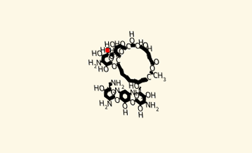 C[C@@H]1C/C=C/C=C/C=C/C=C/[C@H](O[C@@H]2O[C@H](C)[C@@H](O)[C@H](N)[C@@H]2O)C[C@@H]2O[C@](O)(C[C@@H](O)C[C@H]3O[C@@H]3/C=C/C(=O)O1)C[C@H](O)[C@H]2C(=O)O.NC[C@H]1O[C@H](O[C@H]2[C@H](O)[C@@H](O[C@H]3O[C@H](CO)[C@@H](O)[C@H](N)[C@H]3O)[C@H](N)C[C@@H]2N)[C@H](N)C[C@@H]1O